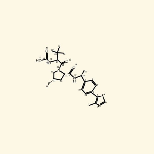 Cc1ncsc1-c1ccc([C@H](C)NC(=O)[C@@H]2C[C@H](F)CN2C(=O)C(NC(=O)O)C(C)(C)C)cc1